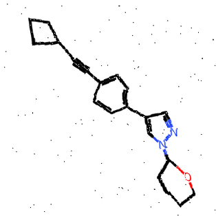 C(#CC1CCC1)c1ccc(-c2cnn(C3CCCCO3)c2)cc1